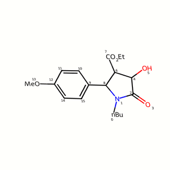 CCCCN1C(=O)C(O)C(C(=O)OCC)C1c1ccc(OC)cc1